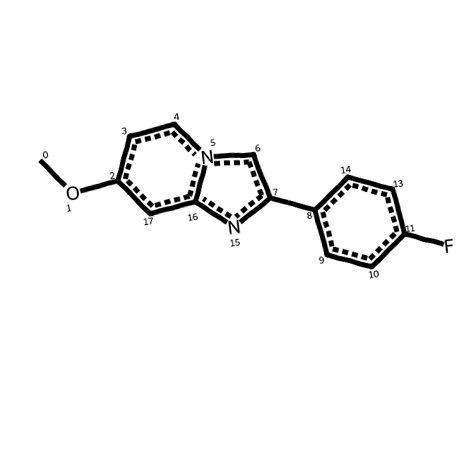 COc1ccn2cc(-c3ccc(F)cc3)nc2c1